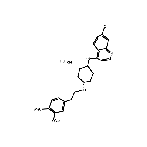 COc1ccc(CCN[C@H]2CC[C@H](Nc3ccnc4cc(Cl)ccc34)CC2)cc1OC.Cl.Cl